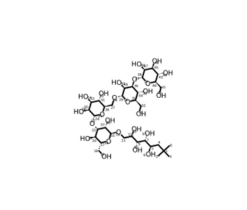 CC(C)(C)C[C@@H](O)[C@@H](O)[C@H](O)[C@H](O)CO[C@H]1O[C@H](CO)[C@@H](O)[C@H](O[C@H]2O[C@H](CO[C@H]3O[C@H](CO)[C@@H](O)[C@H](O[C@H]4O[C@H](CO)[C@@H](O)[C@H](O)[C@@H]4O)[C@@H]3O)[C@@H](O)[C@H](O)[C@@H]2O)[C@@H]1O